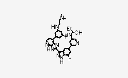 CCC(O)Nc1cncc(-c2cc(F)c3[nH]nc(-c4nc5c(-c6cc(F)cc(NCCN(C)C)c6)ccnc5[nH]4)c3c2)c1